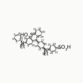 CCN(c1ccccc1)c1ccc(C(=C2C=CC(=[N+](CC)c3ccc(S(=O)(=O)O)cc3)C=C2)c2ccccc2S(=O)(=O)O)cc1